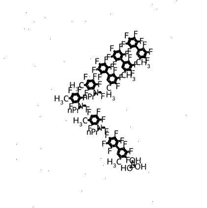 CCCN(CF)c1c(F)c(C)c(F)c(F)c1F.CCCN(CF)c1c(F)c(C)c(F)c(F)c1F.CCCN(CF)c1c(F)c(C)c(F)c(F)c1F.Cc1cc(-c2c(F)c(F)c(F)c(F)c2F)c(F)c(F)c1F.Cc1cc(-c2c(F)c(F)c(F)c(F)c2F)c(F)c(F)c1F.Cc1cc(-c2c(F)c(F)c(F)c(F)c2F)c(F)c(F)c1F.Cc1cc(-c2c(F)c(F)c(F)c(F)c2F)c(F)c(F)c1F.OB(O)O